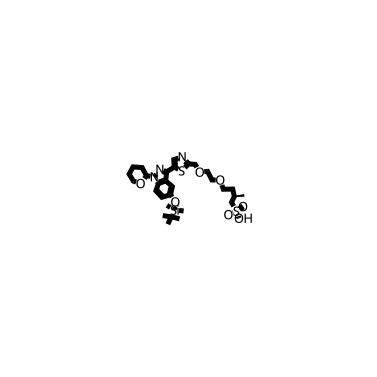 C[C@H](CCOCCOCc1ncc(-c2nn(C3CCCCO3)c3ccc(O[Si](C)(C)C(C)(C)C)cc23)s1)CS(=O)(=O)O